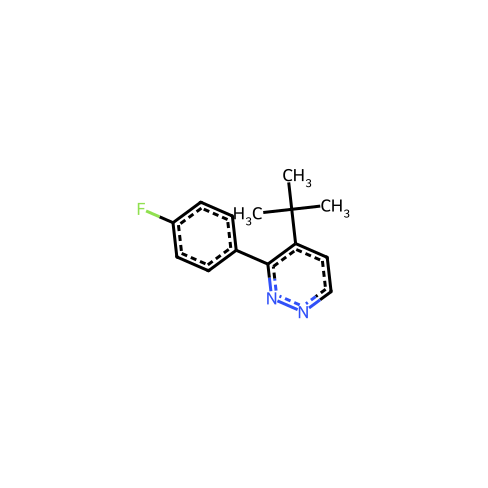 CC(C)(C)c1ccnnc1-c1ccc(F)cc1